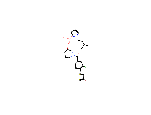 CC(C)CCn1cccc1B(O)COC1CCCN(C(=O)c2ccc(-c3cc(Br)cs3)c(Cl)c2)C1